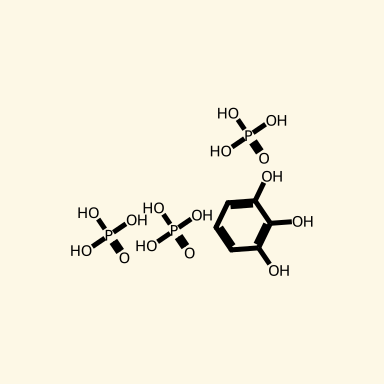 O=P(O)(O)O.O=P(O)(O)O.O=P(O)(O)O.Oc1cccc(O)c1O